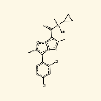 CCC[N+](C)(C(=O)c1c(C)nn2c(-c3ccc(Cl)cc3Cl)c(C)oc12)C1CC1